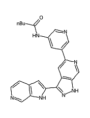 CCCCC(=O)Nc1cncc(-c2cc3c(-c4cc5ccncc5[nH]4)n[nH]c3cn2)c1